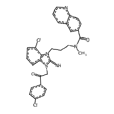 CN(CCCn1c(=N)n(CC(=O)c2ccc(Cl)cc2)c2cccc(Cl)c21)C(=O)c1ccc2ncccc2c1